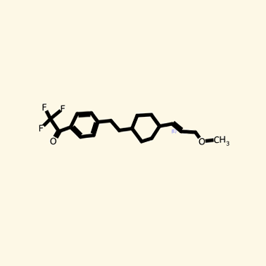 COC/C=C/C1CCC(CCc2ccc(C(=O)C(F)(F)F)cc2)CC1